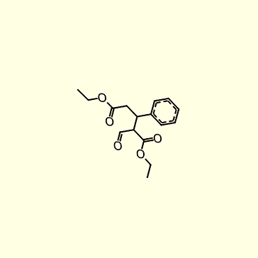 CCOC(=O)CC(c1ccccc1)C(C=O)C(=O)OCC